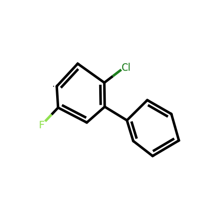 Fc1[c]cc(Cl)c(-c2ccccc2)c1